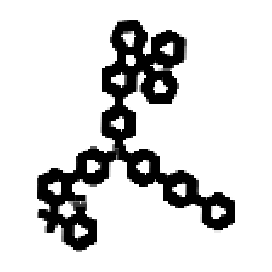 CC1(C)c2ccccc2Oc2c(-c3ccc(N(c4ccc(-c5ccc(-c6ccccc6)cc5)cc4)c4ccc(-c5ccc6c(c5)C(c5ccccc5)(c5ccccc5)c5ccccc5-6)cc4)cc3)cccc21